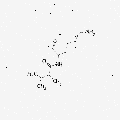 CC(C)C(C)C(=O)NC(C=O)CCCCN